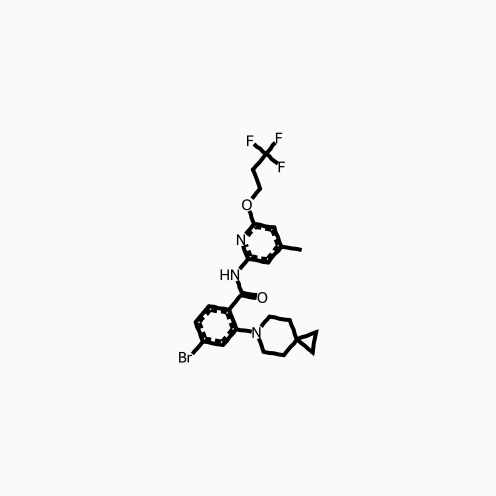 Cc1cc(NC(=O)c2ccc(Br)cc2N2CCC3(CC2)CC3)nc(OCCC(F)(F)F)c1